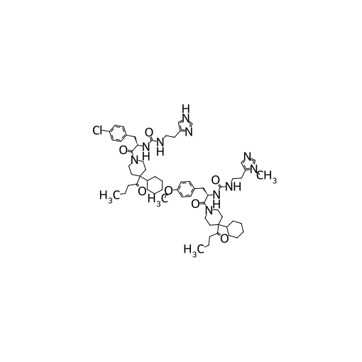 CCCC(=O)C1(C2CCCCC2)CCN(C(=O)[C@@H](Cc2ccc(Cl)cc2)NC(=O)NCCc2c[nH]cn2)CC1.CCCC(=O)C1(C2CCCCC2)CCN(C(=O)[C@@H](Cc2ccc(OC)cc2)NC(=O)NCCc2cncn2C)CC1